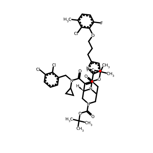 Cc1ccc(F)c(OCCCc2coc(C3=C(C(=O)N(Cc4cccc(Cl)c4Cl)C4CC4)[C@H]4CN(C(=O)OC(C)(C)C)CC(C3)N4C(=O)OC(C)(C)C)n2)c1Cl